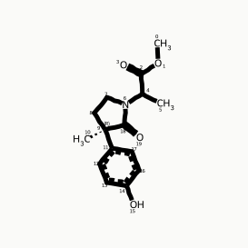 COC(=O)C(C)N1CC[C@](C)(c2ccc(O)cc2)C1=O